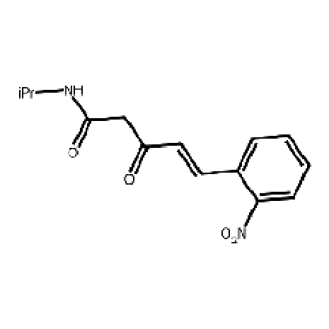 CC(C)NC(=O)CC(=O)C=Cc1ccccc1[N+](=O)[O-]